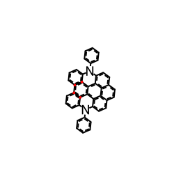 c1ccc(N(c2ccccc2)c2ccc3ccc4ccc(N(c5ccccc5)c5ccccc5)c5c6ccccc6c2c3c45)cc1